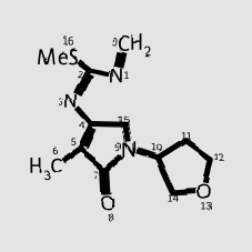 C=N/C(=N\C1=C(C)C(=O)N(C2CCOC2)C1)SC